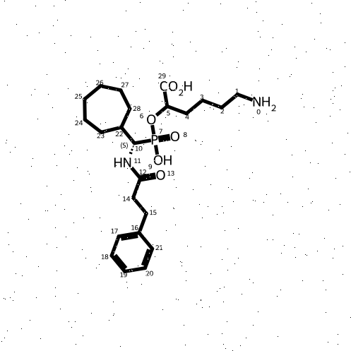 NCCCCC(OP(=O)(O)[C@H](NC(=O)CCc1ccccc1)C1CCCCCC1)C(=O)O